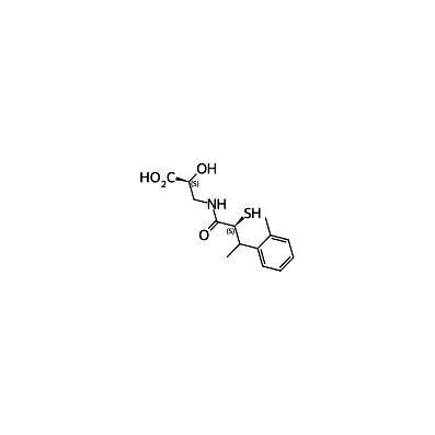 Cc1ccccc1C(C)[C@H](S)C(=O)NC[C@H](O)C(=O)O